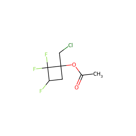 CC(=O)OC1(CCl)CC(F)C1(F)F